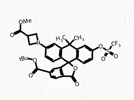 COC(=O)C1CN(c2ccc3c(c2)C(C)(C)c2cc(OS(=O)(=O)C(F)(F)F)ccc2C32OC(=O)c3ccc(C(=O)OC(C)(C)C)cc32)C1